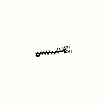 NC(CO)(CO)CCCCCCCCCCCCCCc1ccccc1